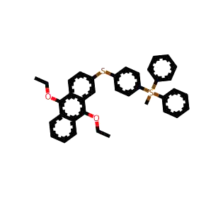 CCOc1c2ccccc2c(OCC)c2cc(Sc3ccc(S(C)(c4ccccc4)c4ccccc4)cc3)ccc12